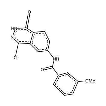 COc1cccc(C(=O)Nc2ccc3c(=O)[nH]nc(Cl)c3c2)c1